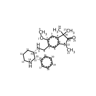 COc1cc2c(cc1CN[C@H]1CCCN[C@H]1c1ccccc1)N(C)C(=O)C2(C)C